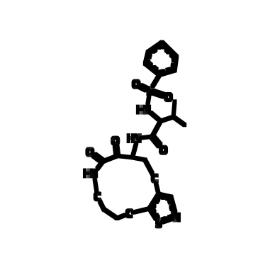 CC(C)C(NS(=O)(=O)c1ccccc1)C(=O)NC1CCc2cnsc2CCCCNC(=O)C1=O